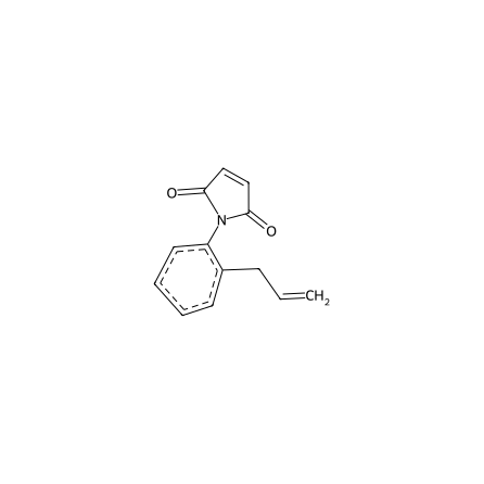 C=CCc1ccccc1N1C(=O)C=CC1=O